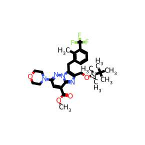 COC(=O)c1cc(N2CCOCC2)nn2c(Cc3cccc(C(F)(F)F)c3C)c(CO[Si](C)(C)C(C)(C)C)nc12